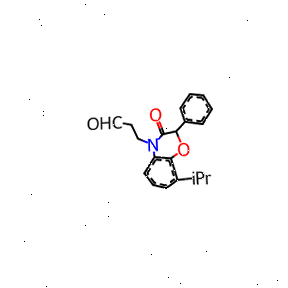 CC(C)c1cccc2c1OC(c1ccccc1)C(=O)N2CCC=O